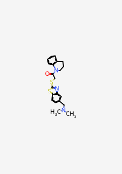 CN(C)Cc1ccc2sc(SCC(=O)N3CCCc4ccccc43)nc2c1